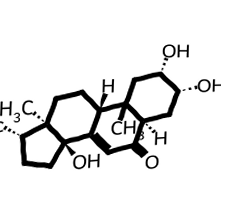 CC(=O)[C@H]1CC[C@@]2(O)C3=CC(=O)[C@@H]4C[C@@H](O)[C@@H](O)CC4(C)[C@H]3CC[C@]12C